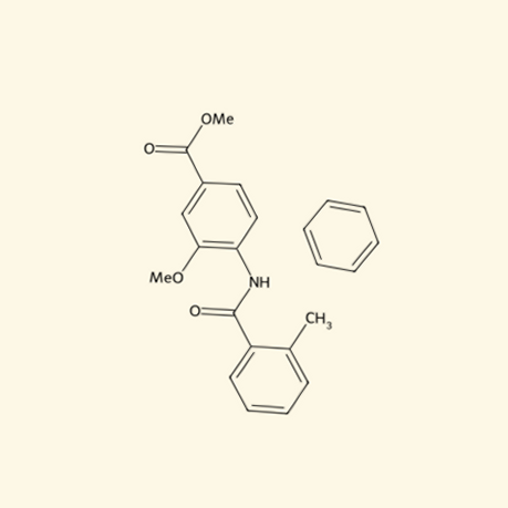 COC(=O)c1ccc(NC(=O)c2ccccc2C)c(OC)c1.c1ccccc1